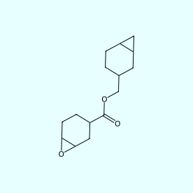 O=C(OCC1CCC2CC2C1)C1CCC2OC2C1